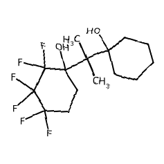 CC(C)(C1(O)CCCCC1)C1(O)CCC(F)(F)C(F)(F)C1(F)F